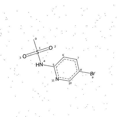 CS(=O)(=O)Nc1ccc(Br)cn1